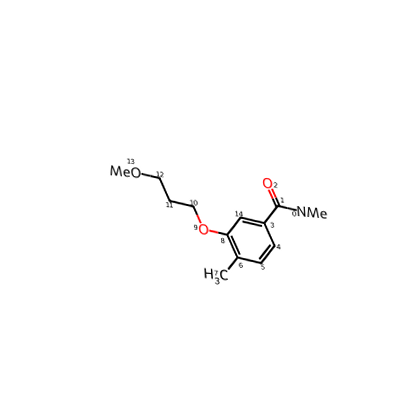 CNC(=O)c1ccc(C)c(OCCCOC)c1